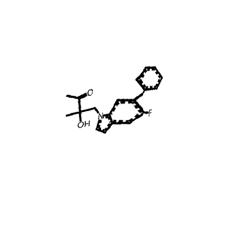 CC(=O)C(C)(O)Cn1ccc2cc(F)c(-c3ccccc3)cc21